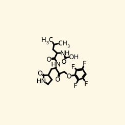 CC(C)CC(NC(=O)O)C(=O)NC(CC1CCNC1=O)C(=O)COc1c(F)c(F)cc(F)c1F